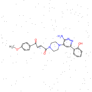 COc1ccc(C(=O)/C=C/C(=O)N2CCN(c3cc(-c4ccccc4O)nnc3N)CC2)cc1